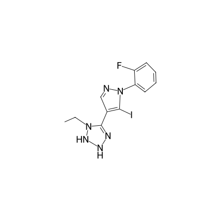 CCN1NNN=C1c1cnn(-c2ccccc2F)c1I